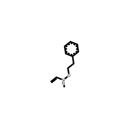 C=C[SiH](C)OCCc1ccccc1